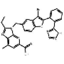 CCc1nc2c(C)cc(C(=O)O)nc2n1Cc1ccc2oc(-c3ccccc3-c3nnn[nH]3)c(Br)c2c1